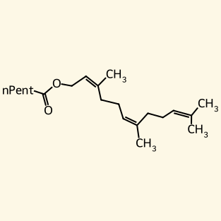 CCCCCC(=O)OCC=C(C)CCC=C(C)CCC=C(C)C